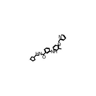 Cc1cc(Nc2cccc(C(=O)NCCC3CCCC3)c2)ccc1OCc1ccccn1